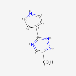 O=C(O)c1cnc(-c2ccncc2)nn1